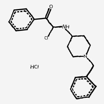 Cl.O=C(c1ccccc1)C(Cl)NC1CCN(Cc2ccccc2)CC1